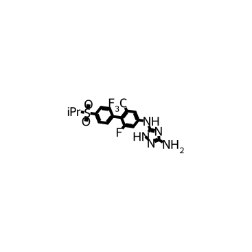 CC(C)S(=O)(=O)c1ccc(-c2c(F)cc(Nc3nc(N)n[nH]3)cc2C(F)(F)F)cc1